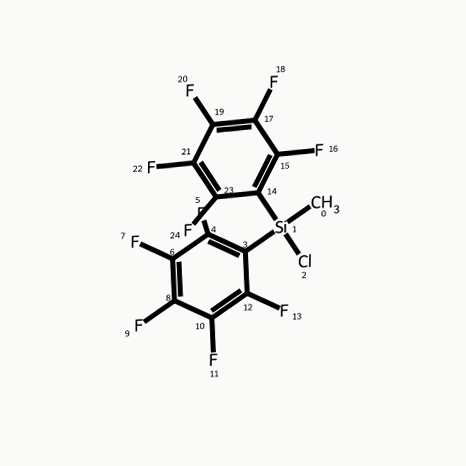 C[Si](Cl)(c1c(F)c(F)c(F)c(F)c1F)c1c(F)c(F)c(F)c(F)c1F